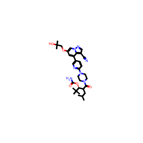 CC(C)CC(C(=O)N1CCN(c2ccc(-c3cc(OCC(C)(C)O)cn4ncc(C#N)c34)cn2)CC1)[C@H](OC(N)=O)C(C)(C)C